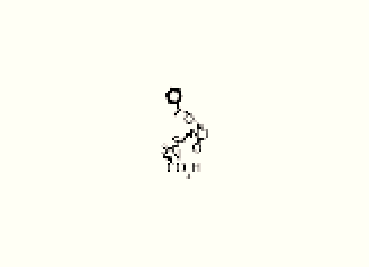 CC(COC[C@H]1CCC(=O)N1CCSc1nc(C(=O)O)cs1)c1ccccc1